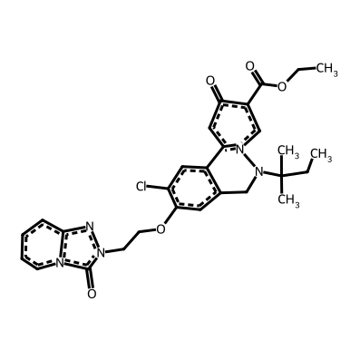 CCOC(=O)c1cn2c(cc1=O)-c1cc(Cl)c(OCCn3nc4ccccn4c3=O)cc1CN2C(C)(C)CC